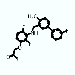 Cc1ccc(-c2cccc(F)c2)cc1CNc1c(F)ccc(OCC(=O)I)c1F